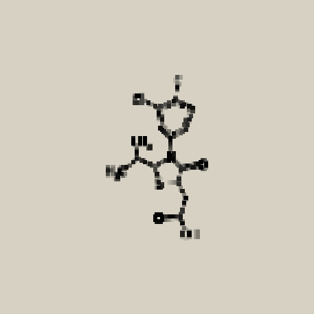 CC(C)C1SC(CC(=O)O)C(=O)N1c1ccc(Cl)c(Cl)c1